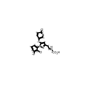 O=C(O)NCCc1cc(Sc2ccc(Cl)nc2)n(-c2cccc(F)c2Cl)n1